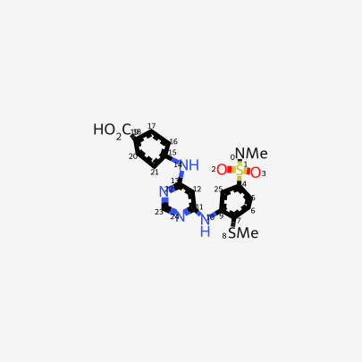 CNS(=O)(=O)c1ccc(SC)c(Nc2cc(Nc3ccc(C(=O)O)cc3)ncn2)c1